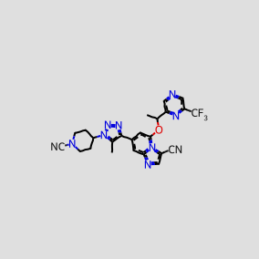 Cc1c(-c2cc(OC(C)c3cncc(C(F)(F)F)n3)n3c(C#N)cnc3c2)nnn1C1CCN(C#N)CC1